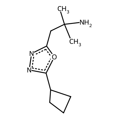 CC(C)(N)Cc1nnc(C2CCC2)o1